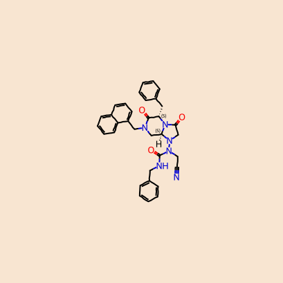 N#CCN(C(=O)NCc1ccccc1)N1CC(=O)N2[C@@H](Cc3ccccc3)C(=O)N(Cc3cccc4ccccc34)C[C@@H]21